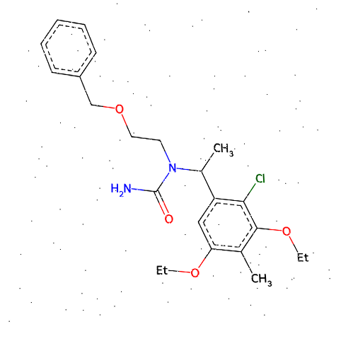 CCOc1cc(C(C)N(CCOCc2ccccc2)C(N)=O)c(Cl)c(OCC)c1C